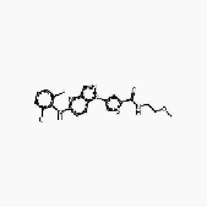 COCCNC(=O)c1cc(-n2ncc3nc(Nc4c(F)cccc4Cl)ccc32)cs1